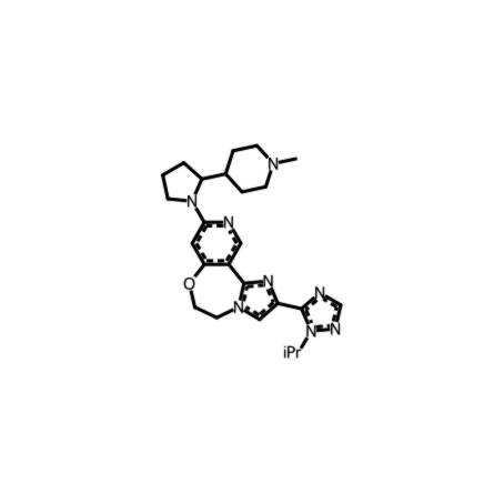 CC(C)n1ncnc1-c1cn2c(n1)-c1cnc(N3CCCC3C3CCN(C)CC3)cc1OCC2